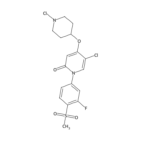 CS(=O)(=O)c1ccc(-n2cc(Cl)c(OC3CCN(Cl)CC3)cc2=O)cc1F